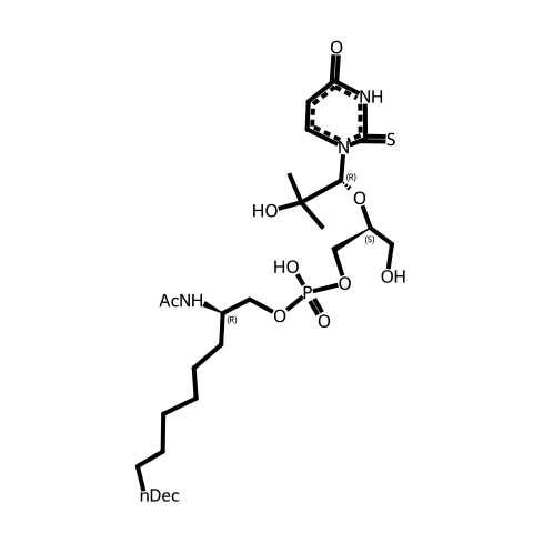 CCCCCCCCCCCCCCCC[C@H](COP(=O)(O)OC[C@H](CO)O[C@@H](n1ccc(=O)[nH]c1=S)C(C)(C)O)NC(C)=O